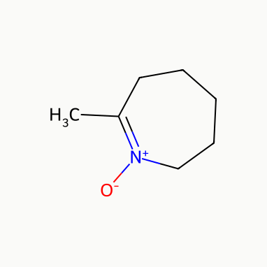 CC1=[N+]([O-])CCCCC1